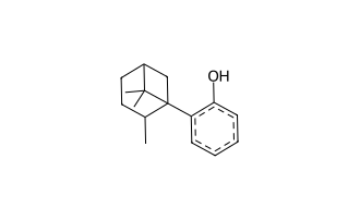 CC1CCC2CC1(c1ccccc1O)C2(C)C